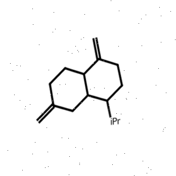 C=C1CCC2C(=C)CCC(C(C)C)C2C1